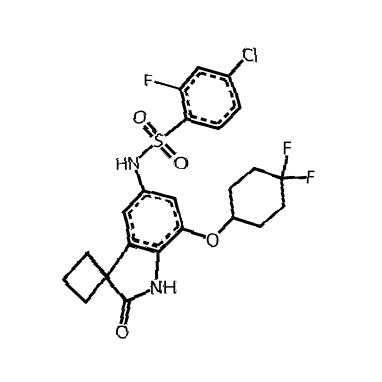 O=C1Nc2c(OC3CCC(F)(F)CC3)cc(NS(=O)(=O)c3ccc(Cl)cc3F)cc2C12CCC2